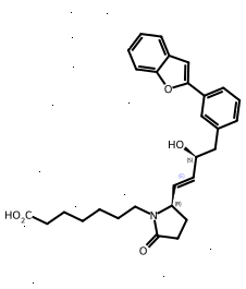 O=C(O)CCCCCCN1C(=O)CC[C@@H]1/C=C/[C@@H](O)Cc1cccc(-c2cc3ccccc3o2)c1